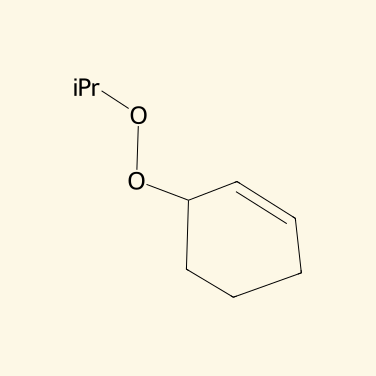 CC(C)OOC1C=CCCC1